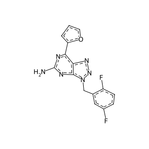 Nc1nc(-c2ccco2)c2nnn(Cc3cc(F)ccc3F)c2n1